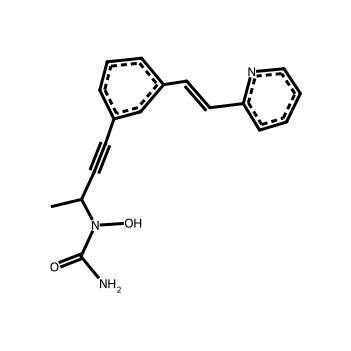 CC(C#Cc1cccc(C=Cc2ccccn2)c1)N(O)C(N)=O